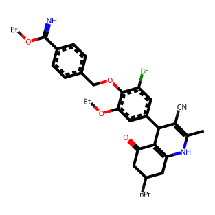 CCCC1CC(=O)C2=C(C1)NC(C)=C(C#N)C2c1cc(Br)c(OCc2ccc(C(=N)OCC)cc2)c(OCC)c1